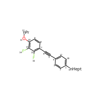 CCCCCCCc1ccc(C#Cc2ccc(OCCC)c(F)c2F)cc1